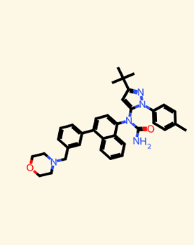 Cc1ccc(-n2nc(C(C)(C)C)cc2N(C(N)=O)c2ccc(-c3cccc(CN4CCOCC4)c3)c3ccccc23)cc1